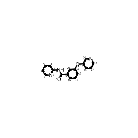 O=C(Nc1ccccn1)c1cccc(Oc2cccnc2)c1